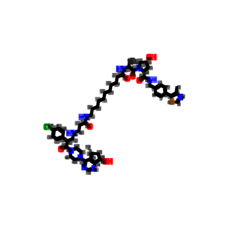 Cc1ncsc1-c1ccc(CNC(=O)[C@@H]2C[C@@H](O)CN2C(=O)C(NC(=O)CCCCCCCCCCNC(=O)CCNCC(C(=O)N2CCN(c3ncnc4c3[C@H](C)C[C@H]4O)CC2)c2ccc(Cl)cc2)C(C)(C)C)cc1